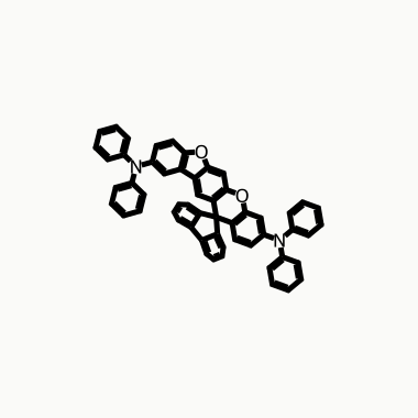 c1ccc(N(c2ccccc2)c2ccc3c(c2)Oc2cc4oc5ccc(N(c6ccccc6)c6ccccc6)cc5c4cc2C32c3ccccc3-c3ccccc32)cc1